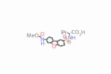 COC(=O)Nc1ccc2c(c1)oc1ccc(S(=O)(=O)N[C@@H](C(=O)O)C(C)C)cc12